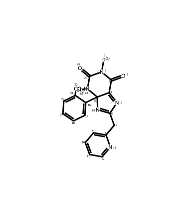 CCCN1C(=O)C2=NC(Cc3ccccn3)=NC2(c2ccccc2C(=O)O)N(CC)C1=O